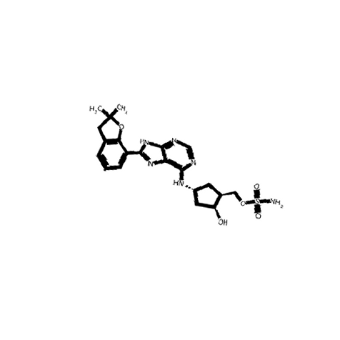 CC1(C)Cc2cccc(-c3nc4c(N[C@@H]5C[C@@H](COS(N)(=O)=O)[C@@H](O)C5)ncnc4[nH]3)c2O1